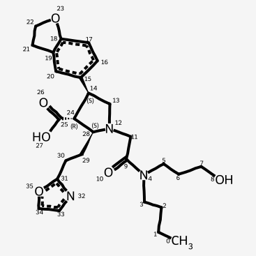 CCCCN(CCCO)C(=O)CN1C[C@H](c2ccc3c(c2)CCO3)[C@@H](C(=O)O)[C@@H]1CCc1ncco1